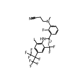 CN(CCC#N)c1cccc(C(=O)Nc2c(I)cc(C(F)(C(F)(F)F)C(F)(F)F)cc2C(F)(F)F)c1F